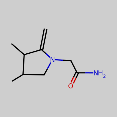 C=C1C(C)C(C)CN1CC(N)=O